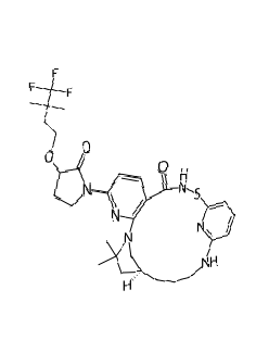 CC1(C)C[C@@H]2CCCNc3cccc(n3)SNC(=O)c3ccc(N4CCC(OCCC(C)(C)C(F)(F)F)C4=O)nc3N1C2